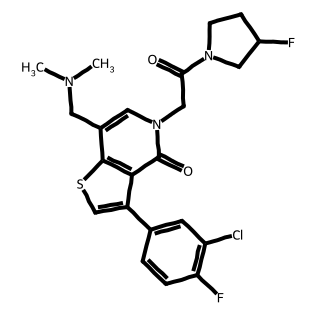 CN(C)Cc1cn(CC(=O)N2CCC(F)C2)c(=O)c2c(-c3ccc(F)c(Cl)c3)csc12